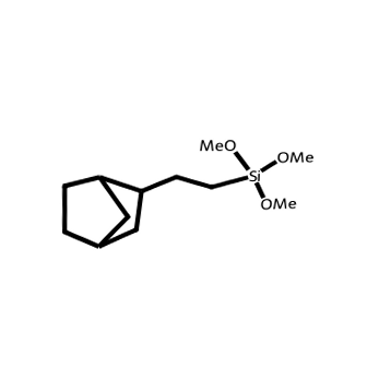 CO[Si](CCC1CC2CCC1C2)(OC)OC